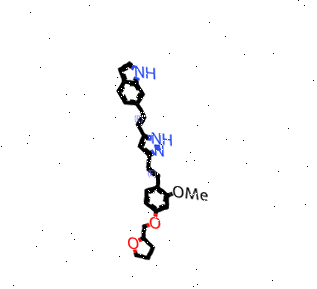 COc1cc(OCC2CCCO2)ccc1/C=C/c1cc(/C=C/c2ccc3cc[nH]c3c2)[nH]n1